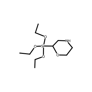 CCO[Si](OCC)(OCC)C1CNCCO1